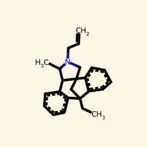 C=CCN1CC23CC(CC)(c4ccccc4C2C1C)c1ccccc13